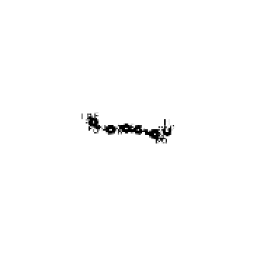 Cn1c(=O)n(C2CCC(=O)NC2=O)c2ccc(CCN3CCC(F)(Cc4ccc5cn([C@H]6CC[C@H](CNC(=O)c7cc(F)c(O)c(F)c7F)CC6)nc5c4)CC3)cc21